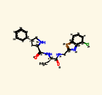 C[C@H](NC(=O)[C@H]1C[C@H](c2ccccc2)CN1)C(=O)NCc1nc2c(Cl)cccc2s1